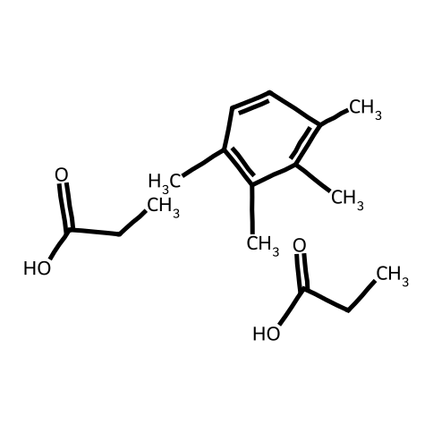 CCC(=O)O.CCC(=O)O.Cc1ccc(C)c(C)c1C